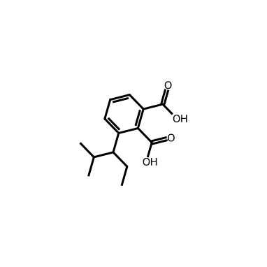 CCC(c1cccc(C(=O)O)c1C(=O)O)C(C)C